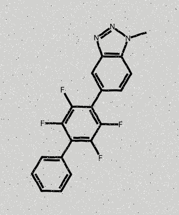 Cn1nnc2cc(-c3c(F)c(F)c(-c4ccccc4)c(F)c3F)ccc21